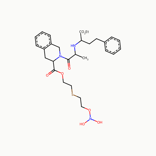 CCOC(=O)C(CCc1ccccc1)NC(C)C(=O)N1Cc2ccccc2CC1C(=O)OCCSCCON(O)O